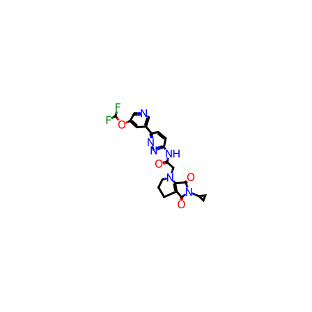 O=C(CN1CCCC2=C1C(=O)N(C1CC1)C2=O)Nc1ccc(-c2cncc(OC(F)F)c2)nn1